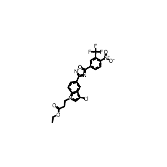 CCOC(=O)CCn1cc(Cl)c2cc(-c3noc(-c4ccc([N+](=O)[O-])c(C(F)(F)F)c4)n3)ccc21